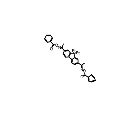 CCC1(CC)c2cc(/C(C)=N/OC(=O)c3ccccc3)ccc2-c2ccc(/C(C)=N/OC(=O)c3ccccc3)cc21